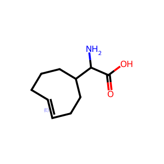 NC(C(=O)O)C1CC/C=C/CCC1